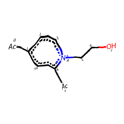 CC(=O)c1cc[n+](CCO)c(C(C)=O)c1